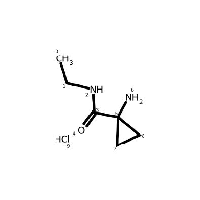 CCNC(=O)C1(N)CC1.Cl